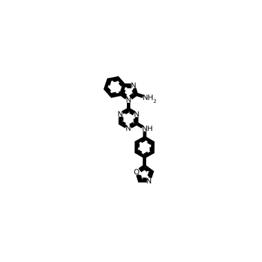 Nc1nc2ccccc2n1-c1ncnc(Nc2ccc(-c3cnco3)cc2)n1